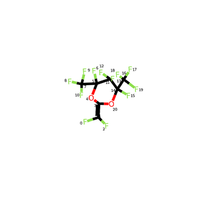 FC(F)=C1OC(F)(C(F)(F)F)C(F)(F)C(F)(C(F)(F)F)O1